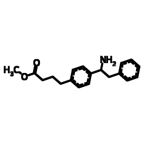 COC(=O)CCCc1ccc(C(N)Cc2ccccc2)cc1